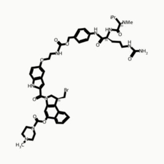 CN[C@H](C(=O)N[C@@H](CCCNC(N)=O)C(=O)Nc1ccc(COC(=O)NCCOc2ccc3[nH]c(C(=O)N4C[C@@H](CBr)c5c4cc(OC(=O)N4CCN(C)CC4)c4ccccc54)cc3c2)cc1)C(C)C